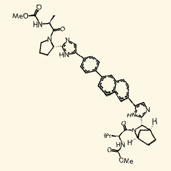 COC(=O)N[C@@H](C)C(=O)N1CCC[C@H]1c1ncc(-c2ccc(-c3ccc4cc(-c5cnc([C@@H]6[C@H]7CC[C@H](C7)N6C(=O)[C@@H](NC(=O)OC)C(C)C)[nH]5)ccc4c3)cc2)[nH]1